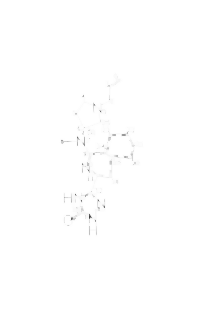 C=CCN1CC[C@H](N(C)c2nc(-c3n[nH]c(=O)[nH]3)cc3ccccc23)C1